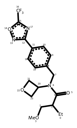 CCC(COC)C(=O)N(Cc1ccc(-c2noc(C(F)(F)F)n2)cc1)C1COC1